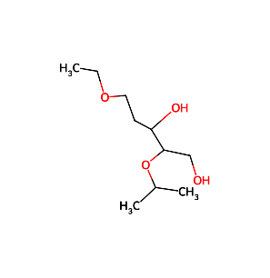 CCOCCC(O)C(CO)OC(C)C